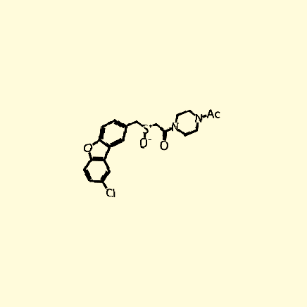 CC(=O)N1CCN(C(=O)C[S+]([O-])Cc2ccc3oc4ccc(Cl)cc4c3c2)CC1